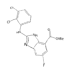 COC(=O)c1cc(F)cc2nc(Nc3cccc(Cl)c3Cl)[nH]c12